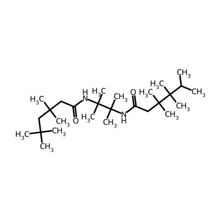 CC(C)C(C)(C)C(C)(C)CC(=O)NC(C)(C)C(C)(C)NC(=O)CC(C)(C)CC(C)(C)C